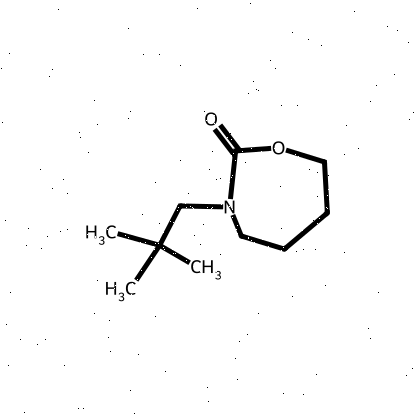 CC(C)(C)CN1CCCCOC1=O